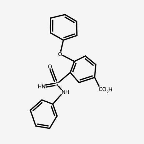 N=S(=O)(Nc1ccccc1)c1cc(C(=O)O)ccc1Oc1ccccc1